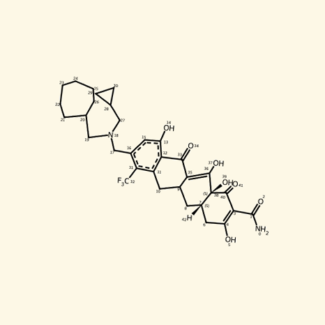 NC(=O)C1=C(O)C[C@@H]2CC3Cc4c(c(O)cc(CN(CC5CCCCCC5)CC5CC5)c4C(F)(F)F)C(=O)C3=C(O)[C@]2(O)C1=O